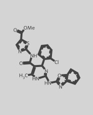 COC(=O)c1cnc(NC(=O)C2=C(C)NC(Nc3nc4ccccc4o3)=NC2c2ccccc2Cl)s1